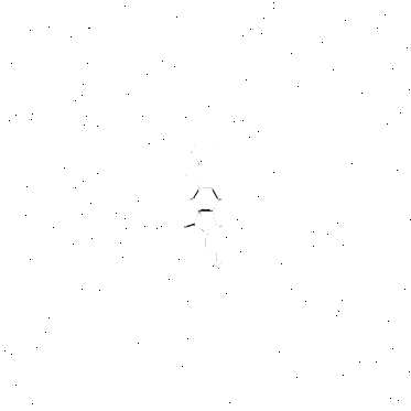 CCCOc1ccc2c(c1)C(=O)N(CCN)C2